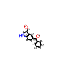 O=CC1CNc2ccc(C(=O)c3ccccc3)cc21